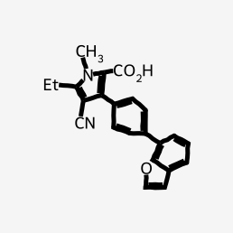 CCc1c(C#N)c(-c2ccc(-c3cccc4ccoc34)cc2)c(C(=O)O)n1C